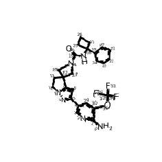 Nc1ncc(-c2cc3n(n2)CCC32CN(C(=O)NC3(c4ccccc4)CCC3)C2)cc1OC(F)(F)F